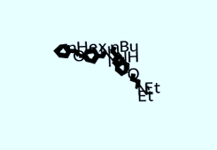 CCCCCCN(Cc1ccc(OCc2ccccc2)cc1)C(CCCC)c1nc2ccc(OCCCN(CC)CC)cc2[nH]1